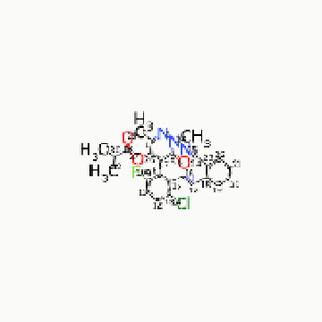 Cc1nn(C)c(=O)c(-c2c(F)ccc(Cl)c2/C=C/c2ccccc2C#N)c1OC(=O)C(C)C